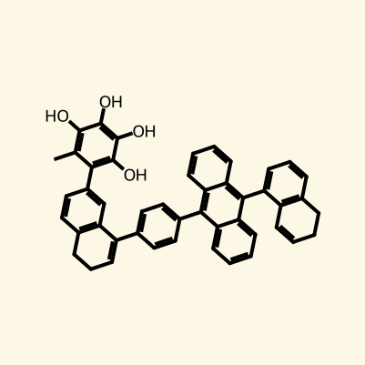 Cc1c(O)c(O)c(O)c(O)c1-c1ccc2c(c1)C(c1ccc(-c3c4ccccc4c(-c4cccc5c4C=CCC5)c4ccccc34)cc1)=CCC2